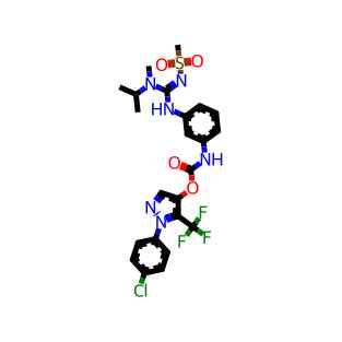 CC(C)N(C)C(=NS(C)(=O)=O)Nc1cccc(NC(=O)Oc2cnn(-c3ccc(Cl)cc3)c2C(F)(F)F)c1